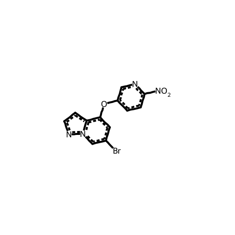 O=[N+]([O-])c1ccc(Oc2cc(Br)cn3nccc23)cn1